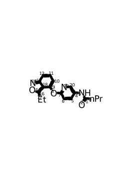 CCCC(=O)Nc1ccc(Oc2cccc3noc(CC)c23)nc1